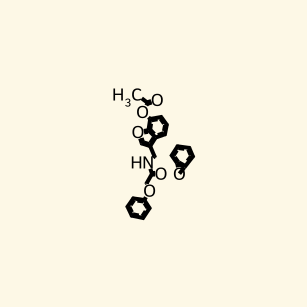 CC(=O)Oc1cccc2c(CNC(=O)COc3ccccc3)coc12.c1ccc2c(c1)O2